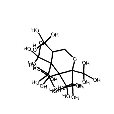 OC(O)(O)C1COC(C(O)(O)O)(C(O)(O)O)C(C(O)(O)O)(C(O)(O)O)C1(C(O)(O)O)C(O)(O)O